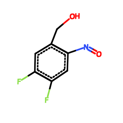 O=Nc1cc(F)c(F)cc1CO